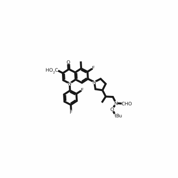 Cc1c(F)c(N2CCC(C(C)CN(C=O)OC(C)(C)C)C2)cc2c1c(=O)c(C(=O)O)cn2-c1ccc(F)cc1F